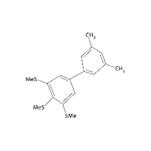 CSc1cc(-c2cc(C)cc(C)c2)cc(SC)c1SC